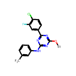 CCOc1nc(Nc2cccc(C(F)(F)F)c2)nc(-c2ccc(Cl)c(F)c2)n1